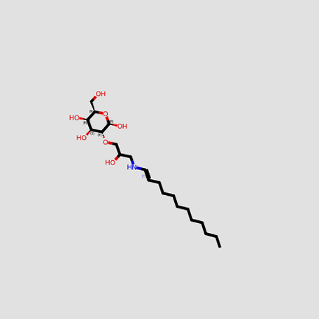 CCCCCCCCCC/C=C/NCC(O)CO[C@@H]1[C@@H](O)[C@@H](O)[C@@H](CO)O[C@H]1O